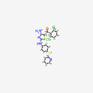 Nc1nc(Nc2ccc(Sc3ccccn3)cc2)sc1C(=O)c1c(Cl)cccc1Cl